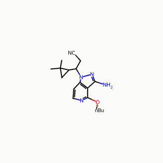 CCCCOc1nccc2c1c(N)nn2C(CC#N)C1CC1(C)C